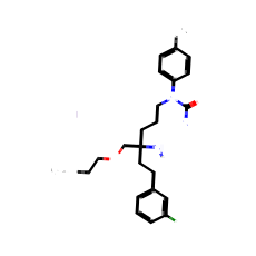 CCNC(CCCN(C(N)=O)c1ccc(C#N)cc1)(CCc1cccc(Cl)c1)COCCOC.I